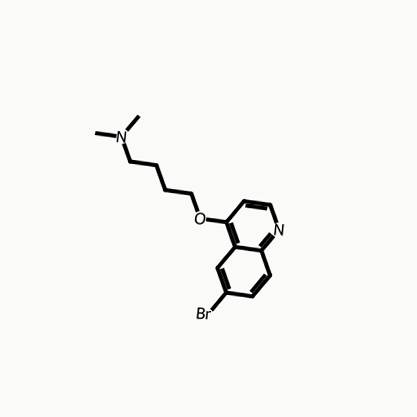 CN(C)CCCCOc1ccnc2ccc(Br)cc12